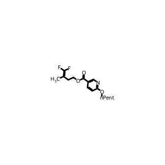 CCCCCOc1ccc(C(=O)OCCC(C)=C(F)F)cn1